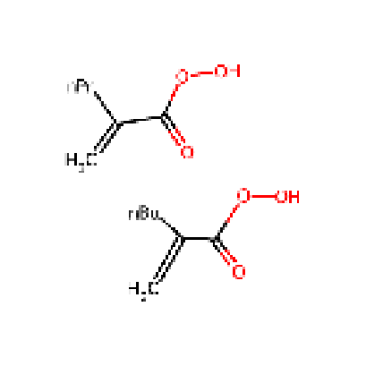 C=C(CCC)C(=O)OO.C=C(CCCC)C(=O)OO